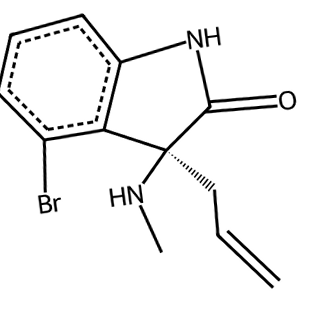 C=CC[C@@]1(NC)C(=O)Nc2cccc(Br)c21